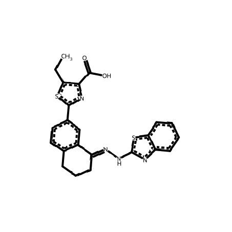 CCc1sc(-c2ccc3c(c2)/C(=N/Nc2nc4ccccc4s2)CCC3)nc1C(=O)O